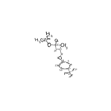 CC(COc1ccc(C(F)(F)F)cc1)CC(=O)OC(C)C